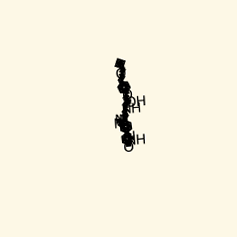 O=C1CCC(c2ccc3c(c2)nnn3CCNCC(O)COc2ccc(CCOCC3CCC3)cc2)=NN1